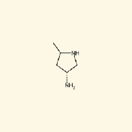 CC1C[C@@H](N)CN1